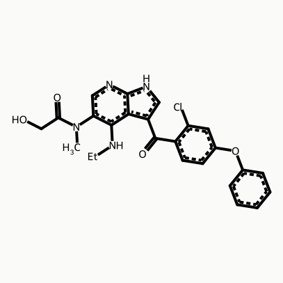 CCNc1c(N(C)C(=O)CO)cnc2[nH]cc(C(=O)c3ccc(Oc4ccccc4)cc3Cl)c12